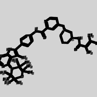 BC(B)=C(B)C(=O)N[C@H]1CCCN(Cc2ccnc(C(=O)Nc3ccc(-c4[nH]c5ncnc(N6C(B)(B)C(B)(B)OC(B)(B)C6(B)B)c5c4B)cc3)c2)C1